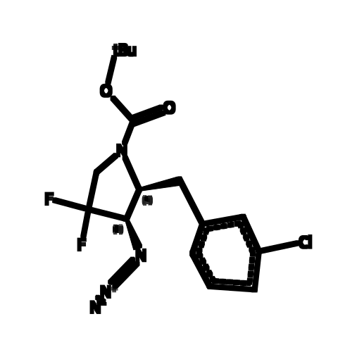 CC(C)(C)OC(=O)N1CC(F)(F)[C@H](N=[N+]=[N-])[C@@H]1Cc1cccc(Cl)c1